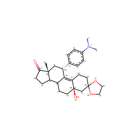 CN(C)c1ccc([C@H]2C[C@@]3(C)C(=O)CCC3C3CC[C@@]4(O)CC5(CCC4=C32)OCCO5)cc1